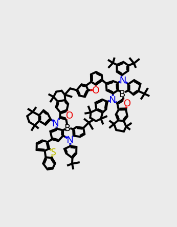 CC(C)(C)c1ccc(N2c3ccc(C(C)(C)C)cc3B3c4oc5cc6c(cc5c4N(c4ccc5c(c4)C(C)(C)CCC5(C)C)c4cc(-c5cccc7c5sc5ccccc57)cc2c43)C(C)(C)CCC6(C)Cc2ccc3oc4c(-c5cc6c7c(c5)N(c5ccc8c(c5)C(C)(C)CCC8(C)C)c5c(oc8cc9c(cc58)C(C)(C)CCC9(C)C)B7c5cc(C(C)(C)C)ccc5N6c5cc(C(C)(C)C)cc(C(C)(C)C)c5)cccc4c3c2)cc1